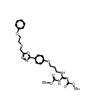 CC(C)(C)OC(=O)/N=C(/NCCCOc1ccc(-c2nnc(CSCCOc3ccccc3)o2)cc1)NC(=O)OC(C)(C)C